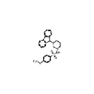 O=S(=O)(N[C@@H]1CCCN(C2c3ccccc3-c3ccccc32)C1)c1ccc(OC(F)(F)F)cc1